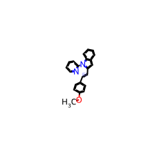 COc1ccc(/C=C/c2cc3ccccc3n2-c2ccccn2)cc1